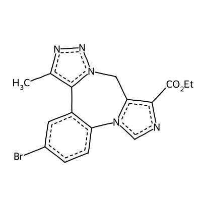 CCOC(=O)c1ncn2c1Cn1nnc(C)c1-c1cc(Br)ccc1-2